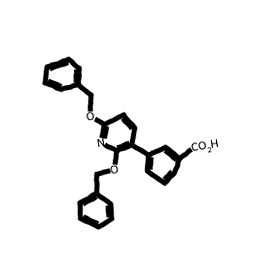 O=C(O)c1cccc(-c2ccc(OCc3ccccc3)nc2OCc2ccccc2)c1